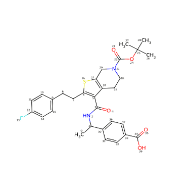 CC(NC(=O)c1c(CCc2ccc(F)cc2)sc2c1CCN(C(=O)OC(C)(C)C)C2)c1ccc(C(=O)O)cc1